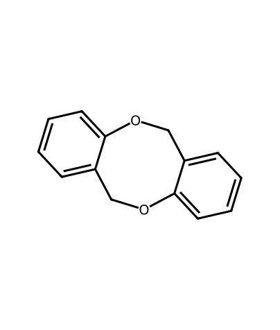 c1ccc2c(c1)COc1ccccc1CO2